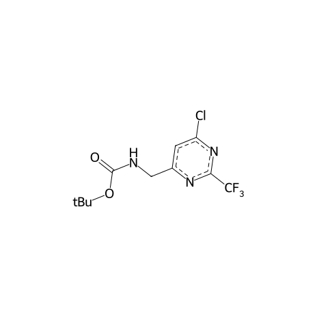 CC(C)(C)OC(=O)NCc1cc(Cl)nc(C(F)(F)F)n1